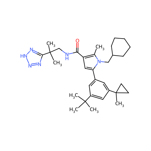 Cc1c(C(=O)NCC(C)(C)c2nn[nH]n2)cc(-c2cc(C(C)(C)C)cc(C3(C)CC3)c2)n1CC1CCCCC1